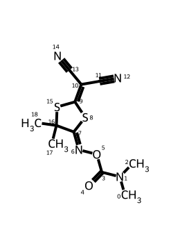 CN(C)C(=O)ON=C1SC(=C(C#N)C#N)SC1(C)C